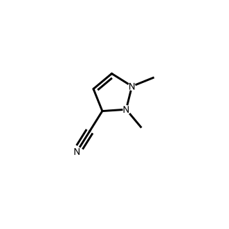 CN1C=CC(C#N)N1C